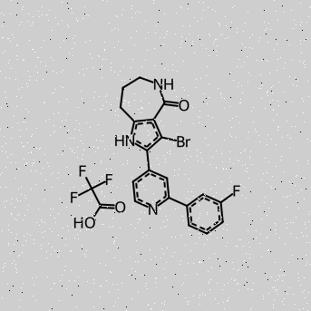 O=C(O)C(F)(F)F.O=C1NCCCc2[nH]c(-c3ccnc(-c4cccc(F)c4)c3)c(Br)c21